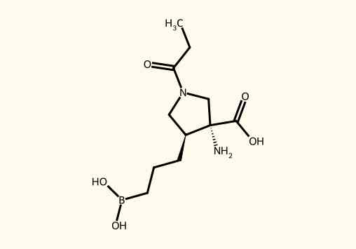 CCC(=O)N1C[C@H](CCCB(O)O)[C@](N)(C(=O)O)C1